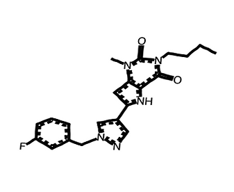 CCCCn1c(=O)c2[nH]c(-c3cnn(Cc4cccc(F)c4)c3)cc2n(C)c1=O